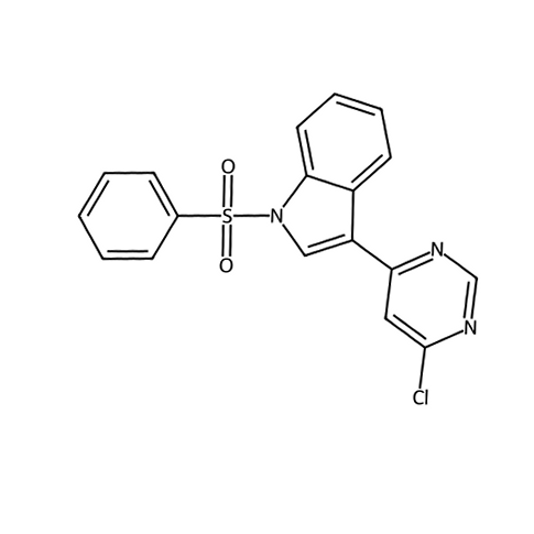 O=S(=O)(c1ccccc1)n1cc(-c2cc(Cl)ncn2)c2ccccc21